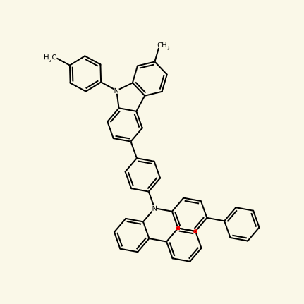 Cc1ccc(-n2c3ccc(-c4ccc(N(c5ccc(-c6ccccc6)cc5)c5ccccc5-c5ccccc5)cc4)cc3c3ccc(C)cc32)cc1